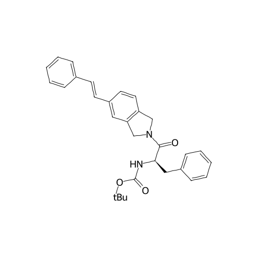 CC(C)(C)OC(=O)N[C@H](Cc1ccccc1)C(=O)N1Cc2ccc(/C=C/c3ccccc3)cc2C1